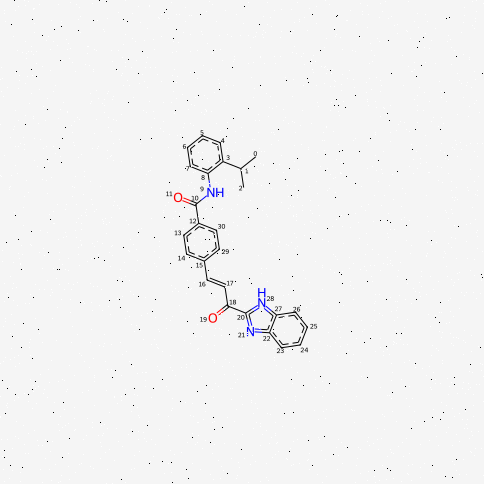 CC(C)c1ccccc1NC(=O)c1ccc(C=CC(=O)c2nc3ccccc3[nH]2)cc1